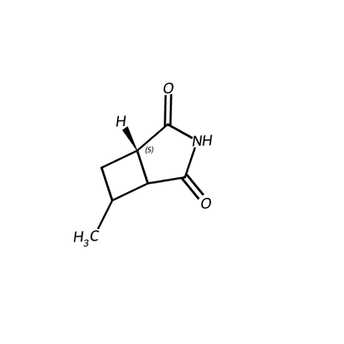 CC1C[C@@H]2C(=O)NC(=O)C12